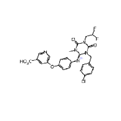 Cn1c(=O)n(CC(F)F)c(=O)n(Cc2ccc(Cl)cc2)/c1=N/c1ccc(Oc2cncc(C(=O)O)c2)cc1